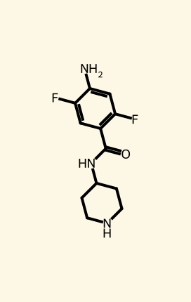 Nc1cc(F)c(C(=O)NC2CCNCC2)cc1F